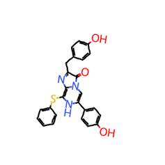 O=c1c(Cc2ccc(O)cc2)nc2c(Sc3ccccc3)[nH]c(-c3ccc(O)cc3)cn1-2